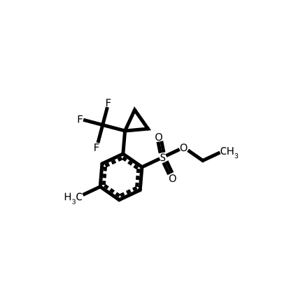 CCOS(=O)(=O)c1ccc(C)cc1C1(C(F)(F)F)CC1